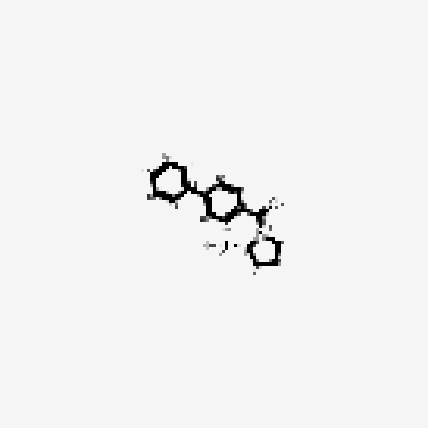 [CH2][C@H]1CCCN1C(=O)c1ccc(-c2ccccc2)cc1